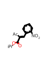 CC(=O)/C(=C\c1ccccc1[N+](=O)[O-])C(=O)OC(C)C